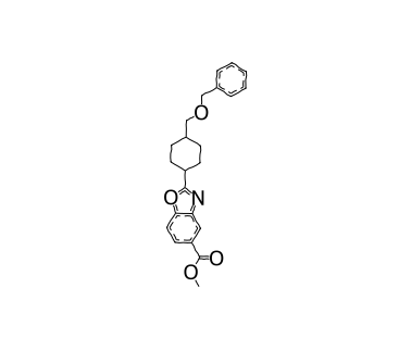 COC(=O)c1ccc2oc(C3CCC(COCc4ccccc4)CC3)nc2c1